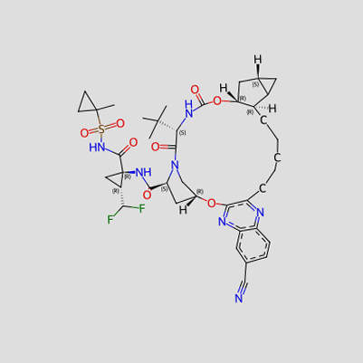 CC(C)(C)[C@@H]1NC(=O)O[C@@H]2C[C@@H]3CC3[C@H]2CCCCCc2nc3ccc(C#N)cc3nc2O[C@@H]2C[C@@H](C(=O)N[C@]3(C(=O)NS(=O)(=O)C4(C)CC4)C[C@H]3C(F)F)N(C2)C1=O